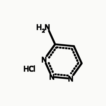 Cl.Nc1ccnnn1